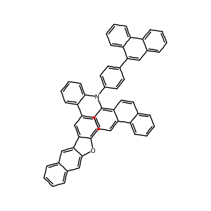 c1ccc(N(c2ccc(-c3cc4ccccc4c4ccccc34)cc2)c2cccc3c2ccc2ccccc23)c(-c2ccc3oc4cc5ccccc5cc4c3c2)c1